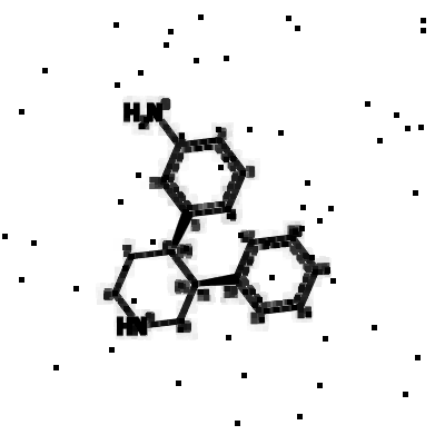 Nc1cccc([C@@H]2CCNC[C@@H]2c2ccccc2)c1